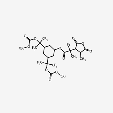 CCC(C)(C(=O)OC1CC(C(OC(=O)OC(C)(C)C)(C(F)(F)F)C(F)(F)F)CC(C(OC(=O)OC(C)(C)C)(C(F)(F)F)C(F)(F)F)C1)C1C(=O)OC(=O)C1C